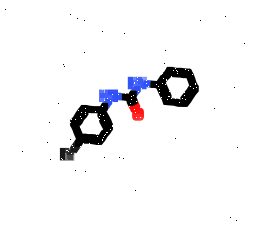 CCc1ccc(NC(=O)Nc2ccccc2)cc1